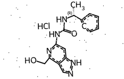 C[C@@H](NC(=O)Nc1cc2[nH]ncc2c(CO)n1)c1ccccc1.Cl